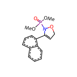 COP(=O)(OC)N1OCC=C1c1cccc2ccccc12